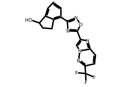 OC1CCc2c(-c3noc(-c4cn5nc(C(F)(F)F)ccc5n4)n3)cccc21